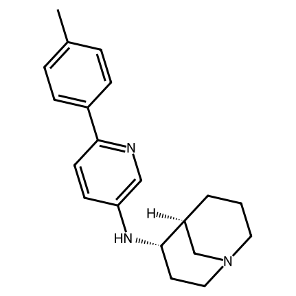 Cc1ccc(-c2ccc(N[C@H]3CCN4CCC[C@H]3C4)cn2)cc1